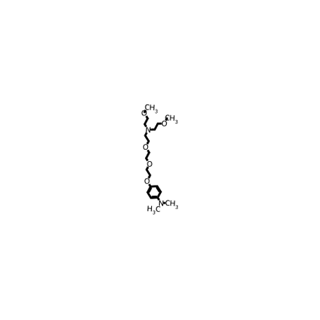 COCCN(CCOC)CCOCCOCCOc1ccc(N(C)C)cc1